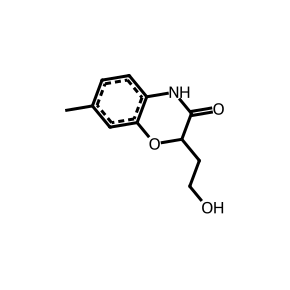 Cc1ccc2c(c1)OC(CCO)C(=O)N2